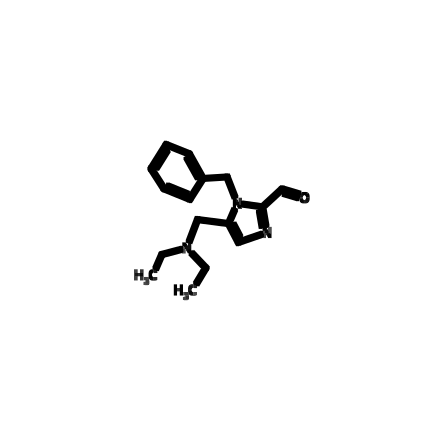 CCN(CC)Cc1cnc(C=O)n1Cc1ccccc1